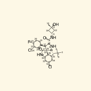 CC(C)(C)C[C@H]1N[C@@H](C(=O)N[C@H]2C[C@@](C)(O)C2)[C@H](c2ccc(F)c(Cl)c2)[C@@]12C(=O)Nc1cc(Cl)ccc12